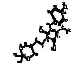 CCSc1nc(=O)n(CCC2COC(C)(C)OC2)c(=O)n1Cc1ccc(Cl)cc1